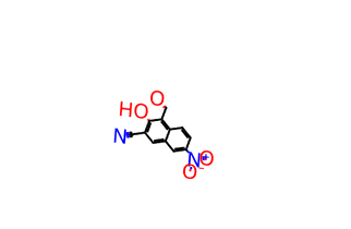 N#Cc1cc2cc([N+](=O)[O-])ccc2c(C=O)c1O